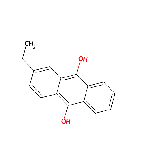 CCc1ccc2c(O)c3ccccc3c(O)c2c1